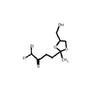 CCC(CC)C(=O)CCC1(C)OCC(CO)O1